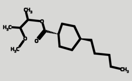 CCCCC[C@H]1CC[C@H](C(=O)OC(C)C(C)OC)CC1